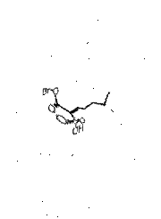 CCCCC=C(C(=O)OBr)S(=O)(=O)O